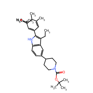 C=C(C)/C=C(\C=C(\C)C(C)CC)c1[nH]c2ccc(C3CCN(C(=O)OC(C)(C)C)CC3)cc2c1CC